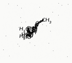 CCCCCCCOc1ccc(-c2cnc(-c3ccc(C[C@H](NC(=O)c4ccc(C(C)(C)C)s4)C(=O)N[C@H](C(=O)O)[C@H](C)O)cc3)nc2)cc1